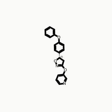 c1ccc(Oc2ccc([C@@H]3CC(Oc4cccnc4)=NO3)cc2)cc1